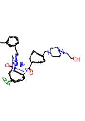 Cc1cccc(C=NNC(=O)c2cc(Br)ccc2NC(=O)c2ccc(CN3CCN(CCO)CC3)cc2)c1